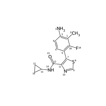 Cc1c(N)ccc(-c2scnc2C(=O)NC2CC2)c1F